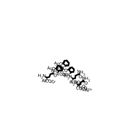 CC(=O)Oc1ccccc1C(=O)[O-].CC(=O)Oc1ccccc1C(=O)[O-].CC(=O)Oc1ccccc1C(=O)[O-].NC(=O)CC[C@H](N)C(=O)[O-].NC(=O)CC[C@H](N)C(=O)[O-].NC(=O)CC[C@H](N)C(=O)[O-].O.O.[Al+3].[Al+3]